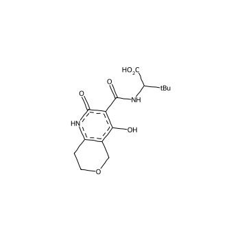 CC(C)(C)C(NC(=O)c1c(O)c2c([nH]c1=O)CCOC2)C(=O)O